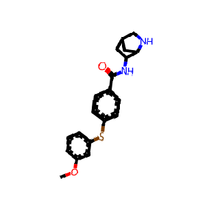 COc1cccc(Sc2ccc(C(=O)NC3CC4CNC3C4)cc2)c1